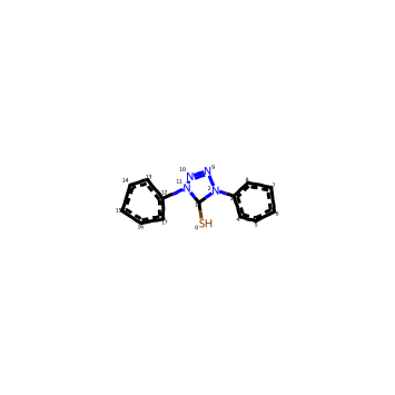 SC1N(c2ccccc2)N=NN1c1ccccc1